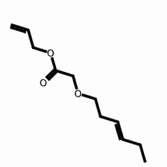 C=CCOC(=O)COCCC=CCC